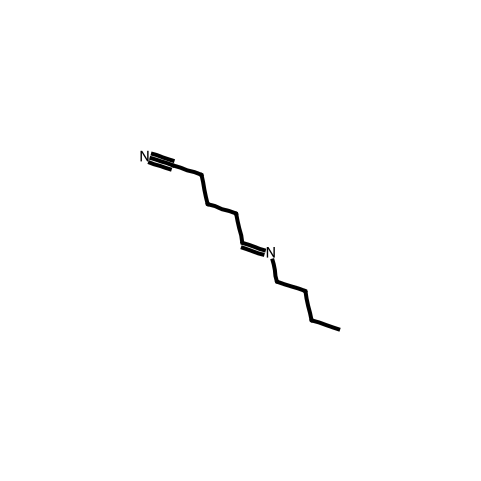 CCCCN=CCCCC#N